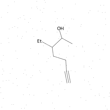 [C]#CCCC(CC)C(C)O